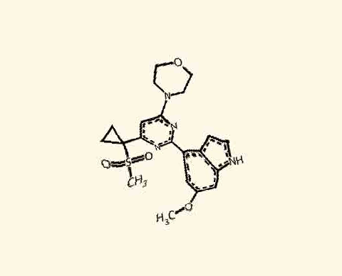 COc1cc(-c2nc(N3CCOCC3)cc(C3(S(C)(=O)=O)CC3)n2)c2cc[nH]c2c1